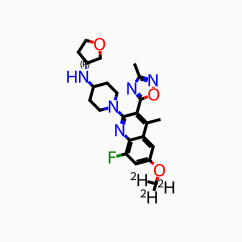 [2H]C([2H])([2H])Oc1cc(F)c2nc(N3CCC(N[C@@H]4CCOC4)CC3)c(-c3nc(C)no3)c(C)c2c1